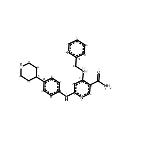 NC(=O)c1cnc(Nc2ccc(C3CCOCC3)cc2)cc1NCc1ccccn1